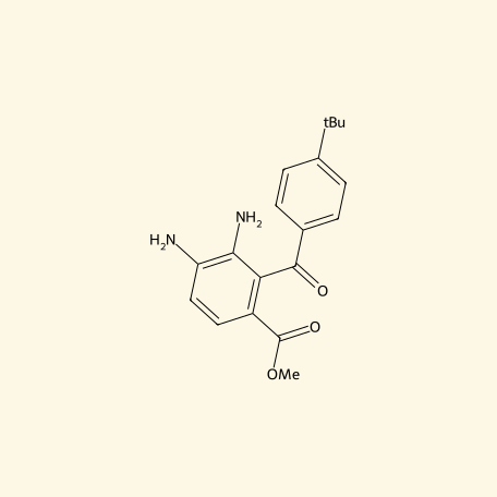 COC(=O)c1ccc(N)c(N)c1C(=O)c1ccc(C(C)(C)C)cc1